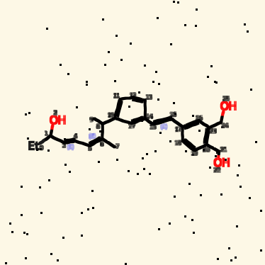 CCC(O)/C=C/C=C(/C)C(C)c1cccc(/C=C/c2ccc(CO)c(CO)c2)c1